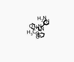 C[C@@H]1COCCN1c1cc([C@@H]2CCCS2(=O)=O)nc(-c2ccnc(N)c2)n1